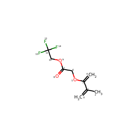 C=C(C)C(=C)OCC(=O)OCC(F)(F)F